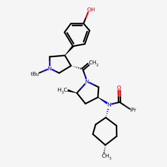 C=C([C@@H]1CN(C(C)(C)C)C[C@H]1c1ccc(O)cc1)N1C[C@@H](N(C(=O)C(C)C)[C@H]2CC[C@@H](C)CC2)C[C@H]1C